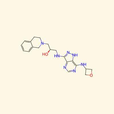 O[C@H](CNc1n[nH]c2c(NC3COC3)ncnc12)CN1CCc2ccccc2C1